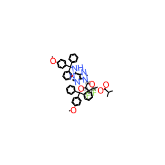 COc1ccc(C(Nc2ncnc3c2ncn3[C@@H]2O[C@](F)(COC(=O)C(C)C)[C@@H](F)[C@H]2OC(c2ccccc2)(c2ccccc2)c2ccc(OC)cc2)(c2ccccc2)c2ccccc2)cc1